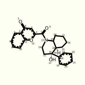 O=C(c1cc(=O)c2ccccc2o1)N1CC[C@](O)(c2ccccc2)[C@@H]2CCCCC21